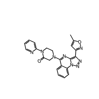 Cc1cc(-c2nnn3c2nc(N2CCN(c4ccccn4)C(=O)C2)c2ccccc23)no1